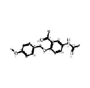 COc1ccc(COc2ccc(NC(C)=O)cc2C(C)=O)cc1